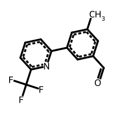 Cc1cc(C=O)cc(-c2cccc(C(F)(F)F)n2)c1